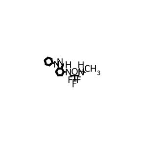 CCNCC(O)(CNc1cccc2c1cnn2-c1ccccc1)C(F)(F)F